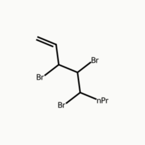 C=CC(Br)C(Br)C(Br)CCC